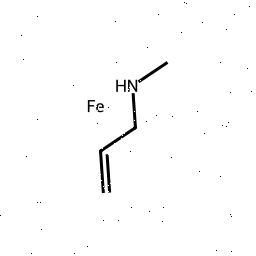 C=CCNC.[Fe]